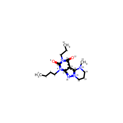 CCCCn1c(=O)n(CCC)c(=O)c2c3n(nc21)CCCN3C